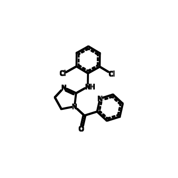 O=C(c1ccccn1)N1CCN=C1Nc1c(Cl)cccc1Cl